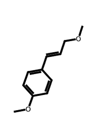 COCC=Cc1ccc(OC)cc1